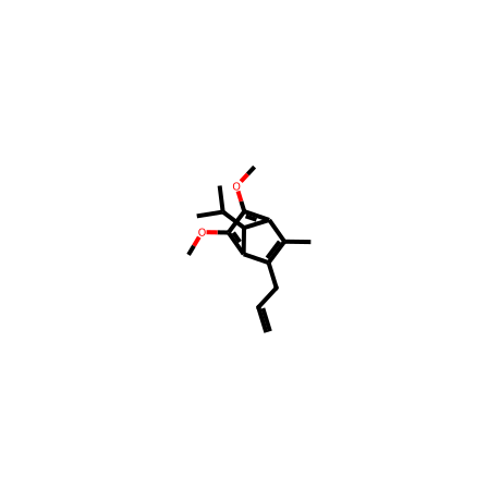 C=CCC1=C(C)C2=C(OC)C(OC)=C1C2[C](C)C